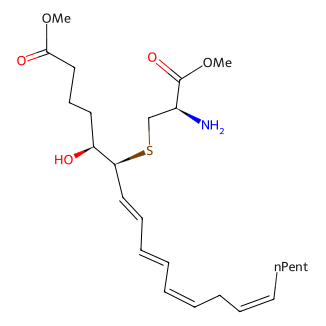 CCCCC/C=C\C\C=C/C=C/C=C/[C@H](SC[C@H](N)C(=O)OC)[C@@H](O)CCCC(=O)OC